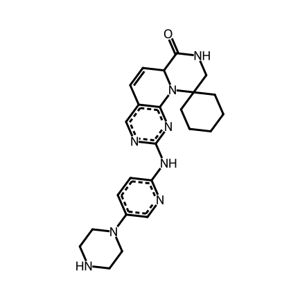 O=C1NCC2(CCCCC2)N2c3nc(Nc4ccc(N5CCNCC5)cn4)ncc3C=CC12